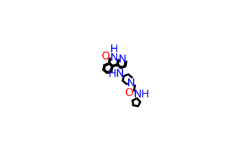 O=C(CN1CCC(Nc2ccnc3[nH]c(=O)c4ccccc4c23)CC1)NC1CCCC1